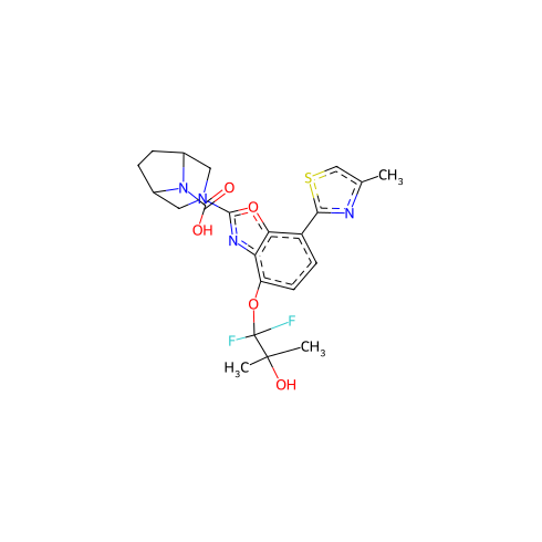 Cc1csc(-c2ccc(OC(F)(F)C(C)(C)O)c3nc(N4CC5CCC(C4)N5C(=O)O)oc23)n1